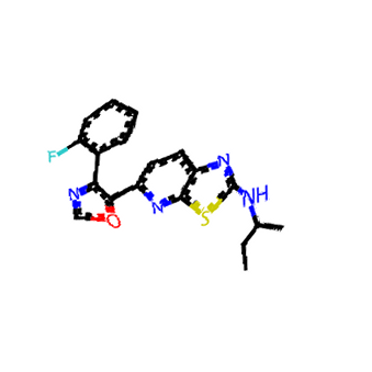 CCC(C)Nc1nc2ccc(-c3ocnc3-c3ccccc3F)nc2s1